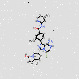 COc1cc(C(=O)Nc2cc(C(F)(F)F)ccn2)ccc1-c1nc([C@@H]2CC[C@H]3CCC(=O)N3C2)n2c(F)cnc(N)c12